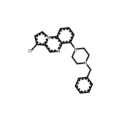 Clc1ccn2c1cnc1c(N3CCN(Cc4ccccc4)CC3)cccc12